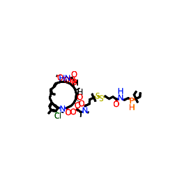 CCC(C)(CC)PCCNC(=O)CCCSSC(C)(C)CCC(=O)N(C)[C@@H](C)C(=O)O[C@H]1CC(=O)N(C)c2cc(cc(C)c2Cl)C/C(C)=C/C=C/[C@@H](OC)[C@@]2(O)C[C@H](OC(=O)N2)[C@@H](C)[C@@H]2O[C@@]12C